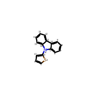 c1csc(-n2c3ccccc3c3ccccc32)c1